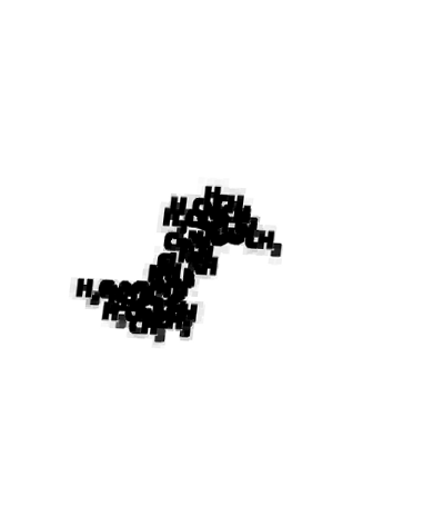 CN(C)CCCN(c1nc(Cl)nc(NCCN(CCO)c2nc(Cl)nc(N(CCCN(C)C)C3CC(C)(C)NC(C)(C)C3)n2)n1)C1CC(C)(C)NC(C)(C)C1